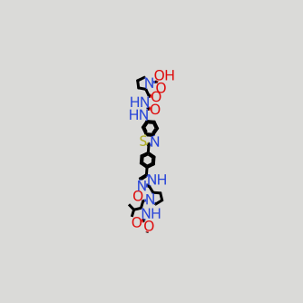 COC(=O)NC(C(=O)N1CCCC1c1ncc(-c2ccc(-c3nc4ccc(NC(=O)NC(=O)C5CCCN5C(=O)O)cc4s3)cc2)[nH]1)C(C)C